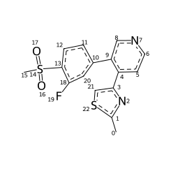 Cc1nc(-c2ccncc2-c2ccc(S(C)(=O)=O)c(F)c2)cs1